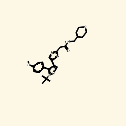 COc1ccc(-c2c(-c3csc(CC(=O)NCC4CCOCC4)n3)cnn2C(C)(C)C)cc1